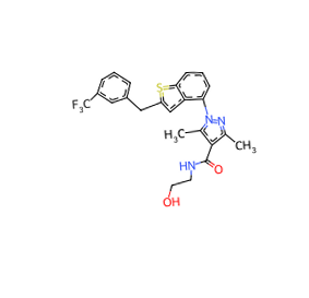 Cc1nn(-c2cccc3sc(Cc4cccc(C(F)(F)F)c4)cc23)c(C)c1C(=O)NCCO